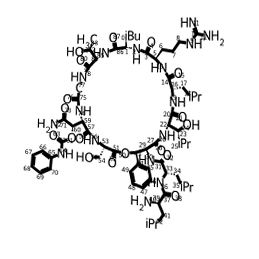 CC[C@H](C)[C@@H]1NC(=O)[C@@H](CCCNC(=N)N)NC(=O)[C@H](CC(C)C)NC(=O)[C@H]([C@H](O)C(C)C)NC(=O)[C@@H](NC(=O)[C@H](CC(C)C)NC(=O)[C@H](N)CC(C)C)[C@@H](c2ccccc2)OC(=O)[C@H](CO)NC(=O)[C@H]([C@H](OC(=O)Nc2ccccc2)C(N)=O)NC(=O)CNC(=O)[C@H]([C@H](C)O)NC1=O